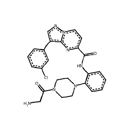 NCC(=O)N1CCN(c2ccccc2NC(=O)c2ccn3ncc(-c4cccc(Cl)c4)c3n2)CC1